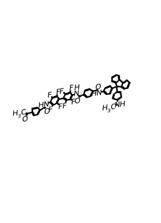 CNc1ccc(C2(c3ccc(NC(=O)c4ccc(C(=O)Nc5c(F)c(F)c(-c6c(F)c(F)c(NC(=O)c7ccc(C(C)=O)cc7)c(F)c6F)c(F)c5F)cc4)cc3)c3ccccc3-c3ccccc32)cc1